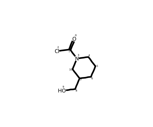 O=C(Cl)N1CCCC(CO)C1